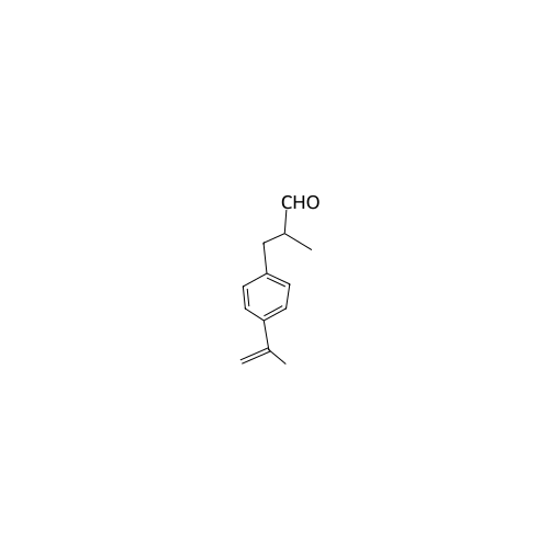 C=C(C)c1ccc(CC(C)C=O)cc1